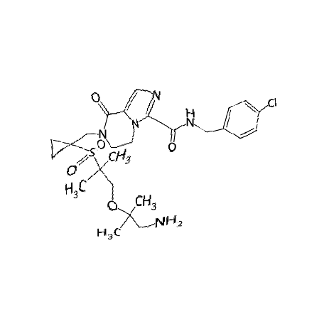 CC(C)(CN)OCC(C)(C)S(=O)(=O)C1(CN2CCn3c(cnc3C(=O)NCc3ccc(Cl)cc3)C2=O)CC1